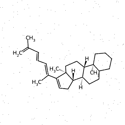 C=C(C)C=CC=C(C)C1=CC[C@H]2[C@@H]3CCC4CCCC[C@]4(C)[C@H]3CC[C@]12C